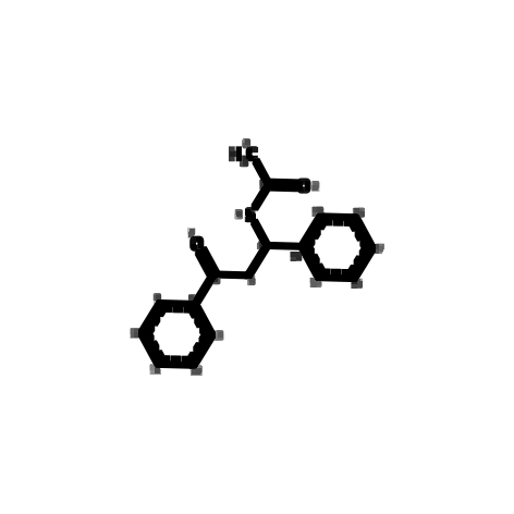 CC(=O)SC(CC(=O)c1ccccc1)c1ccccc1